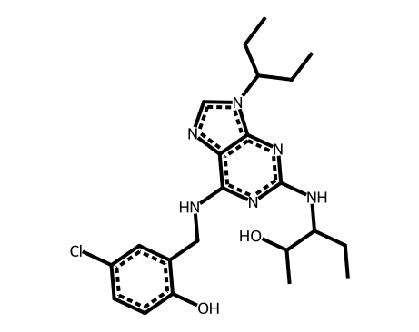 CCC(Nc1nc(NCc2cc(Cl)ccc2O)c2ncn(C(CC)CC)c2n1)C(C)O